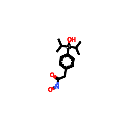 CC(C)[Si](O)(c1ccc(CC(=O)N=O)cc1)C(C)C